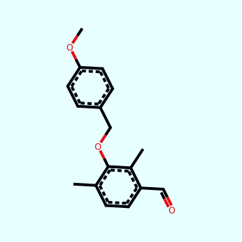 COc1ccc(COc2c(C)ccc(C=O)c2C)cc1